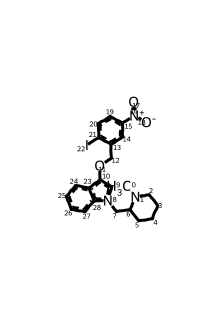 CN1CCCCC1Cn1cc(OCc2cc([N+](=O)[O-])ccc2I)c2ccccc21